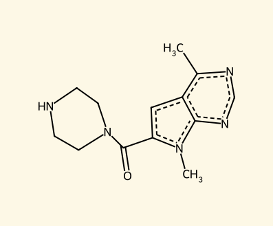 Cc1ncnc2c1cc(C(=O)N1CCNCC1)n2C